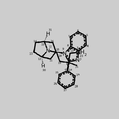 Cc1nc2ccccc2n1[C@H]1C[C@H]2CC[C@@H](C1)N2CCC(C)(CN)c1ccccc1